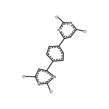 Clc1cc(-c2ccc(-c3cc(Cl)nc(Cl)n3)cc2)nc(Cl)n1